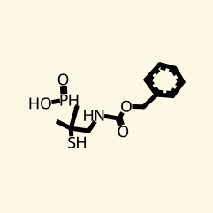 CC(S)(CNC(=O)OCc1ccccc1)C[PH](=O)O